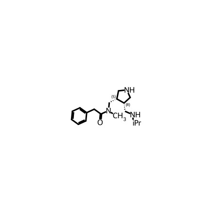 CC(C)NC[C@H]1CNC[C@H]1CN(C)C(=O)Cc1ccccc1